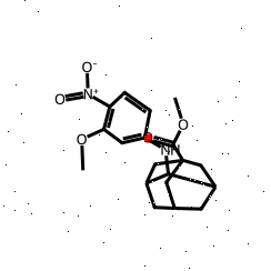 COC(=O)C12CC3CC(C1)C(Nc1ccc([N+](=O)[O-])c(OC)c1)C(C3)C2